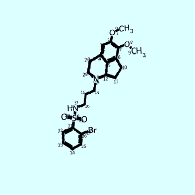 COc1cc2c3c(c1OC)CCC3N(CCCNS(=O)(=O)c1ccccc1Br)CC2